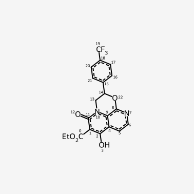 CCOC(=O)c1c(O)c2ccnc3c2n(c1=O)CC(c1ccc(C(F)(F)F)cc1)O3